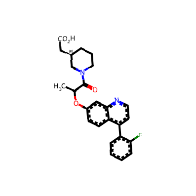 CC(Oc1ccc2c(-c3ccccc3F)ccnc2c1)C(=O)N1CCC[C@H](CC(=O)O)C1